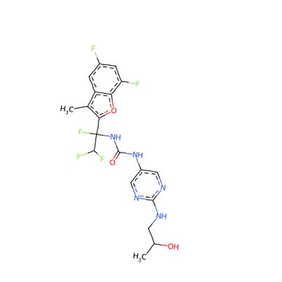 Cc1c(C(F)(NC(=O)Nc2cnc(NCC(C)O)nc2)C(F)F)oc2c(F)cc(F)cc12